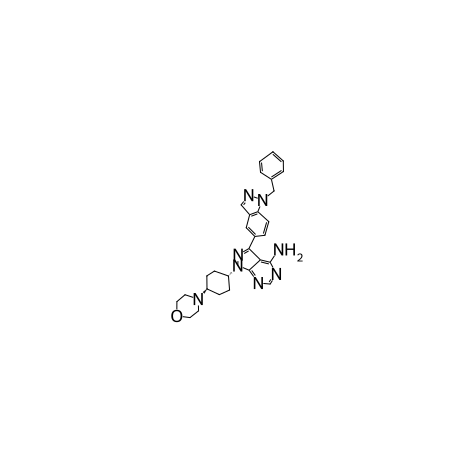 Nc1ncnc2c1c(-c1ccc3c(cnn3Cc3ccccc3)c1)nn2[C@H]1CC[C@H](N2CCOCC2)CC1